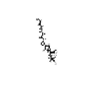 CCCCOCCCOC1CN(C(=O)OC(C)(C)C)C1